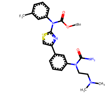 CN(C)CCN(C(N)=O)c1cccc(-c2csc(N(C(=O)OC(C)(C)C)c3cccc(C(F)(F)F)c3)n2)c1